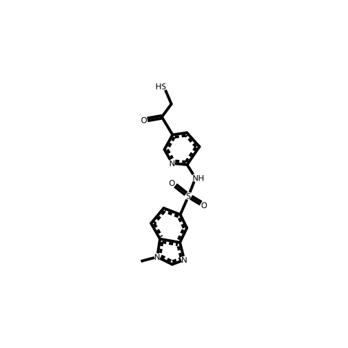 Cn1cnc2cc(S(=O)(=O)Nc3ccc(C(=O)CS)cn3)ccc21